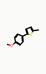 COc1ccc(-c2ccc(C)s2)cc1